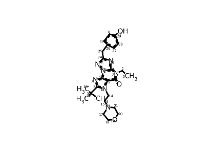 CCn1c(=O)c2c(nc(C(C)(C)C)n2CCN2CCOCC2)n2nc(Cc3ccc(O)cc3)nc12